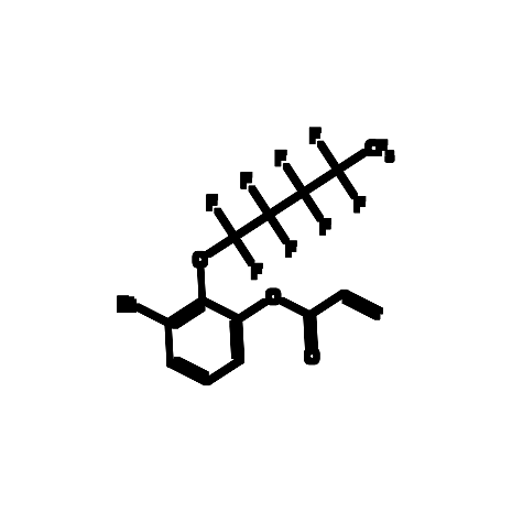 C=CC(=O)Oc1cccc(CC)c1OC(F)(F)C(F)(F)C(F)(F)C(F)(F)C(F)(F)F